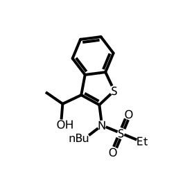 CCCCN(c1sc2ccccc2c1C(C)O)S(=O)(=O)CC